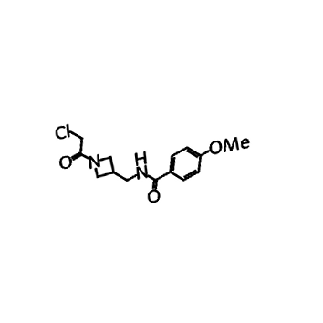 COc1ccc(C(=O)NCC2CN(C(=O)CCl)C2)cc1